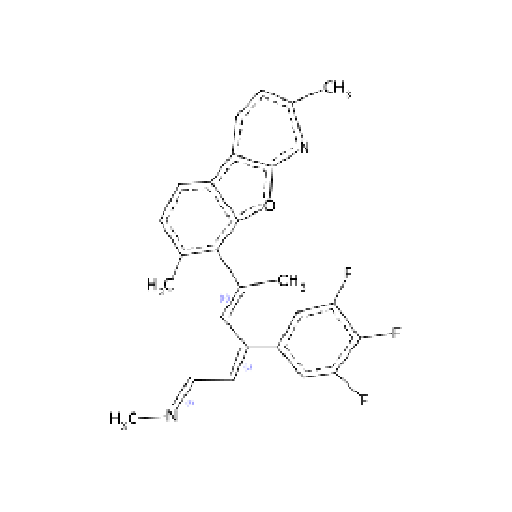 C/N=C/C=C(\C=C(/C)c1c(C)ccc2c1oc1nc(C)ccc12)c1cc(F)c(F)c(F)c1